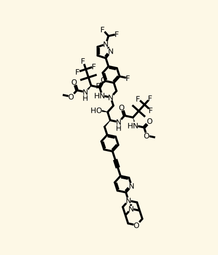 COC(=O)N[C@H](C(=O)N[C@@H](Cc1ccc(C#Cc2ccc(N3CC4COCC(C3)N4C)nc2)cc1)[C@@H](O)CN(Cc1c(F)cc(-c2ccn(C(F)F)n2)cc1F)NC(=O)[C@@H](NC(=O)OC)C(C)(C)C(F)(F)F)C(C)(C)C(F)(F)F